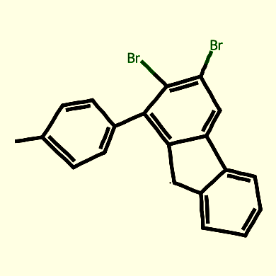 Cc1ccc(-c2c(Br)c(Br)cc3c2[CH]c2ccccc2-3)cc1